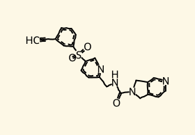 C#Cc1cccc(S(=O)(=O)c2ccc(CNC(=O)N3Cc4ccncc4C3)nc2)c1